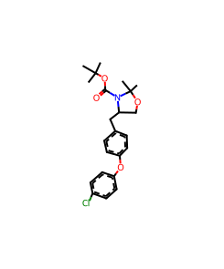 CC(C)(C)OC(=O)N1C(Cc2ccc(Oc3ccc(Cl)cc3)cc2)COC1(C)C